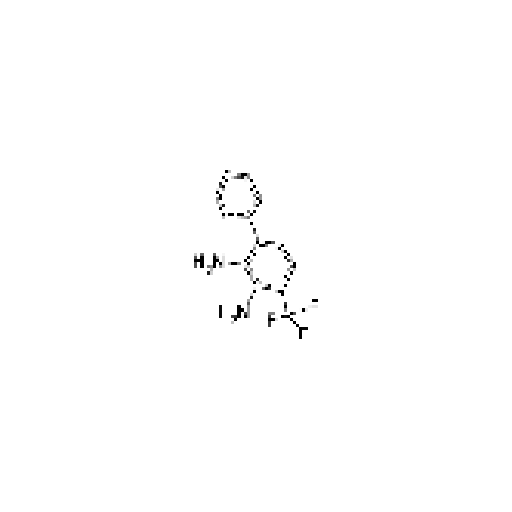 Nc1c(-c2ccccc2)ccc(C(F)(F)F)c1N